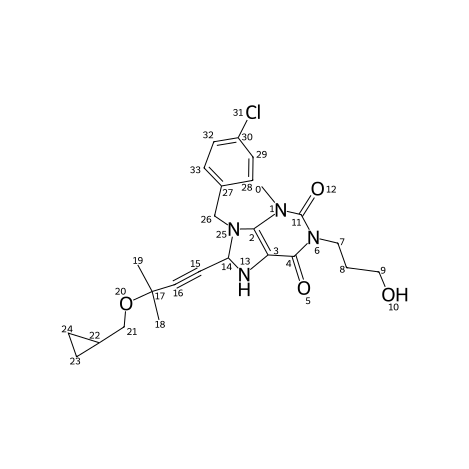 Cn1c2c(c(=O)n(CCCO)c1=O)NC(C#CC(C)(C)OCC1CC1)N2Cc1ccc(Cl)cc1